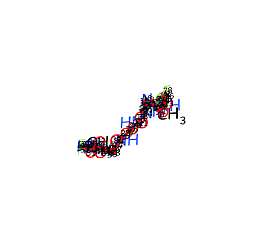 COc1ncc(-c2ccc3nccc(-c4ccc(COC(=O)NCCOCCOCCNC(=O)CCc5cccc6c5CN(C(=O)C[C@@H]5C[C@@H](C(=O)N7CC(F)(F)C[C@H]7C)NC5=O)C6)nc4)c3c2)cc1NS(=O)(=O)c1ccc(F)cc1F